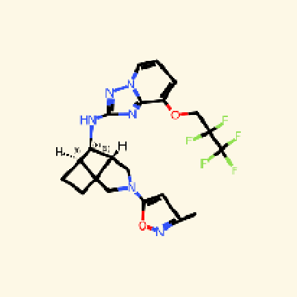 Cc1cc(N2C[C@H]3[C@H](Nc4nc5c(OCC(F)(F)C(F)(F)F)cccn5n4)[C@@H]4CCC43C2)on1